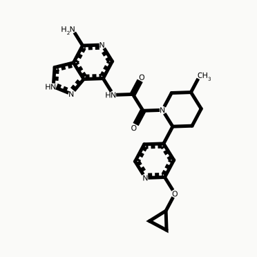 CC1CCC(c2ccnc(OC3CC3)c2)N(C(=O)C(=O)Nc2cnc(N)c3c[nH]nc23)C1